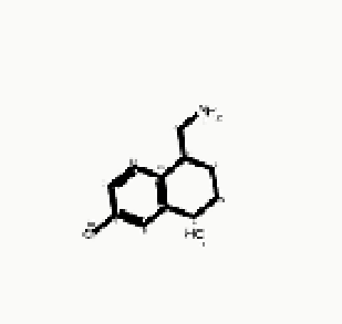 Cl.NCC1CCCc2cc(Cl)ccc21